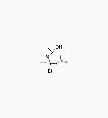 CCC1(CC)OC(C)(O)[C@H](C)[C@@H](C)[C@@H]1C